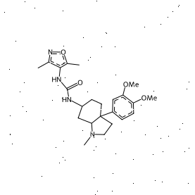 COc1ccc(C23CCC(NC(=O)Nc4c(C)noc4C)CC2N(C)CC3)cc1OC